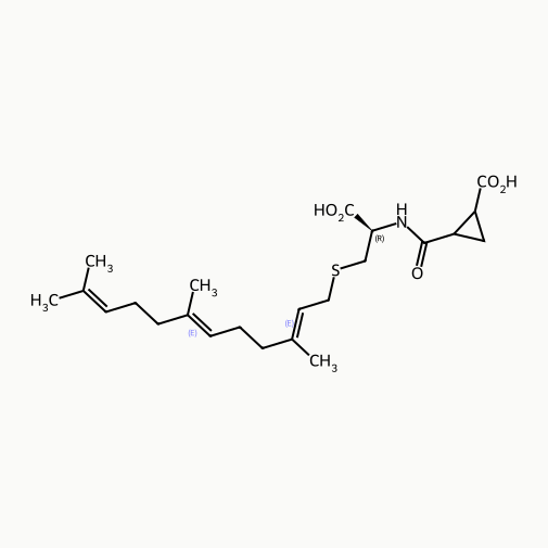 CC(C)=CCC/C(C)=C/CC/C(C)=C/CSC[C@H](NC(=O)C1CC1C(=O)O)C(=O)O